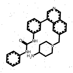 NC1CCN(Cc2ccc3cncc(-c4cccc(NC(=O)Nc5ccccc5)c4)c3c2)CC1